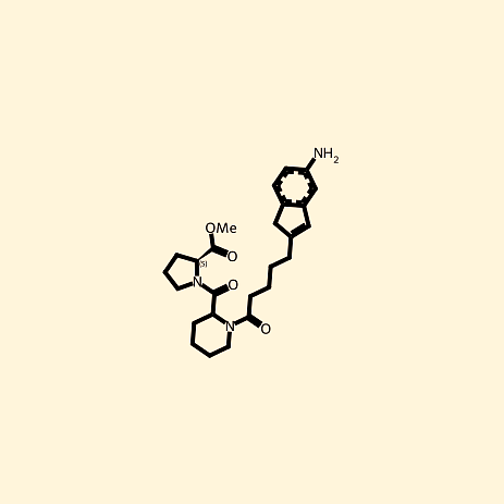 COC(=O)[C@@H]1CCCN1C(=O)C1CCCCN1C(=O)CCCCC1=Cc2cc(N)ccc2C1